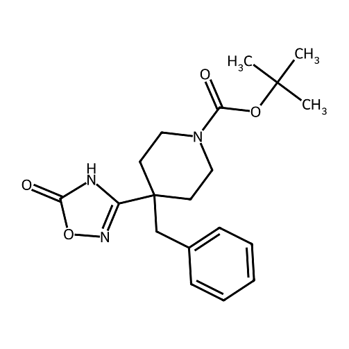 CC(C)(C)OC(=O)N1CCC(Cc2ccccc2)(c2noc(=O)[nH]2)CC1